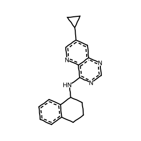 c1ccc2c(c1)CCCC2Nc1ncnc2cc(C3CC3)cnc12